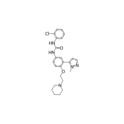 Cn1nccc1-c1cc(NC(=O)Nc2ccccc2Cl)ccc1OCCN1CCCCC1